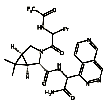 CC(C)C(NC(=O)C(F)(F)F)C(=O)N1C[C@H]2[C@@H]([C@H]1C(=O)NC(C(N)=O)c1nncc3cnccc13)C2(C)C